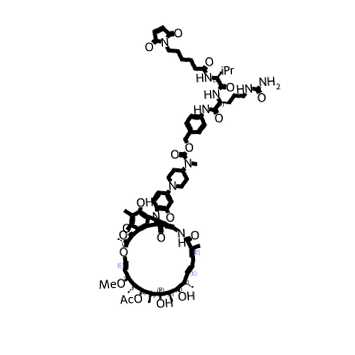 CO[C@H]1/C=C/O[C@@]2(C)Oc3c(C)c(O)c4c(=O)c(c5oc6cc(N7CCC(N(C)C(=O)OCc8ccc(NC(=O)[C@H](CCCNC(N)=O)NC(=O)[C@@H](NC(=O)CCCCCN9C(=O)C=CC9=O)C(C)C)cc8)CC7)ccc6nc-5c4c3C2=O)NC(=O)/C(C)=C\C=C\[C@H](C)[C@H](O)[C@@H](C)[C@@H](O)[C@@H](C)[C@H](OC(C)=O)[C@@H]1C